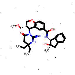 CCC1(CC)CC(=O)N(C2c3cc(C(O)N[C@@H]4c5ccccc5C[C@@]4(C)O)ccc3OC[C@H]2COC)C(=N)N1